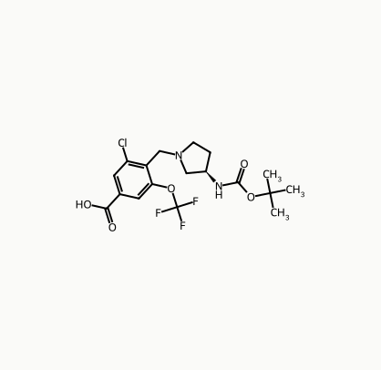 CC(C)(C)OC(=O)N[C@@H]1CCN(Cc2c(Cl)cc(C(=O)O)cc2OC(F)(F)F)C1